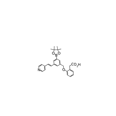 CC1(C)OB(c2cc(C=Cc3ccncc3)cc(COc3ccccc3CC(=O)O)c2)OC1(C)C